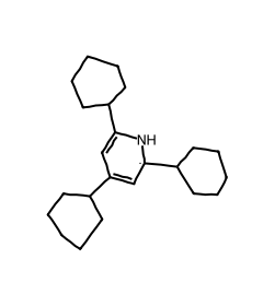 C1=C(C2CCCCC2)C=C(C2CCCCC2)N[C]1C1CCCCC1